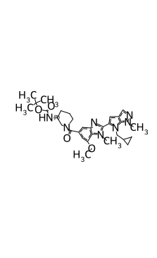 COc1cc(C(=O)N2CCC[C@@H](NC(=O)OC(C)(C)C)C2)cc2nc(-c3cc4cnn(C)c4n3CC3CC3)n(C)c12